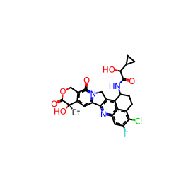 CC[C@@]1(O)C(=O)OCc2c1cc1n(c2=O)Cc2c-1nc1cc(F)c(Cl)c3c1c2C(NC(=O)C(O)C1CC1)CC3